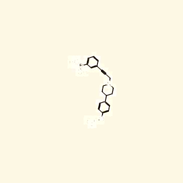 OB(O)c1cccc(C#CCN2CCC(c3ccc(OC(F)(F)F)cc3)CC2)c1